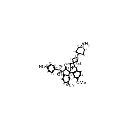 CCOc1ccc(OC)cc1C1(N2CC3(CN(C4CCN(C)CC4)C3)C2)C(=O)N(S(=O)(=O)c2ccc(C#N)cc2)c2ccc(C#N)cc21